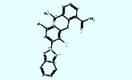 CC(C)c1cc(Cc2c(C(N)=O)cccc2C(N)=O)c(O)c(-n2nc3ccccc3n2)c1